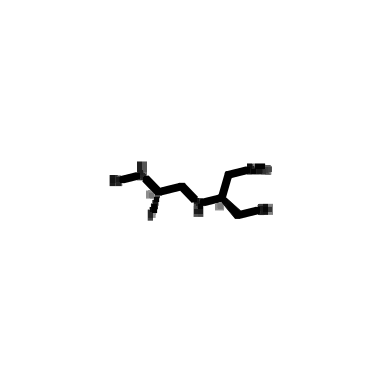 CCN[C@@H](F)CN[C@H](CS)CNC